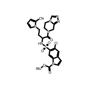 CC(C)(C)OC(=O)n1ccc2cc(Cl)c(S(=O)(=O)NC(CCn3cccc3C#N)C(=O)N3CCn4cnnc4C3)cc21